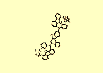 Cc1cccc(N(c2ccc3c(c2)oc2cc(N(c4cccc(C)c4)c4cccc5c4oc4c(C)cccc45)c4ccccc4c23)c2cccc3c2oc2c(C)cccc23)c1